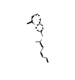 C=C/C=C\C=C(/C)Bc1nc2[nH]ccc(=O)n2n1